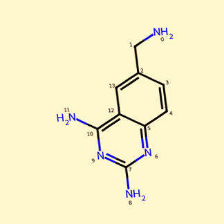 NCc1ccc2nc(N)nc(N)c2c1